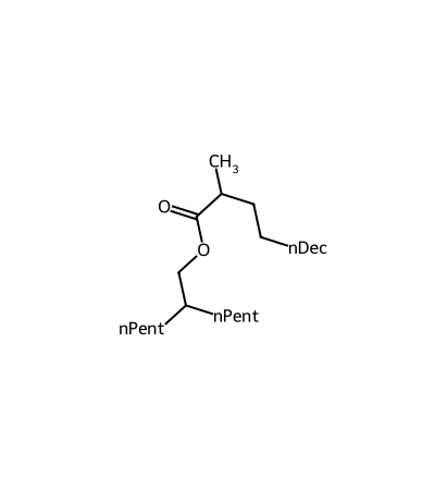 CCCCCCCCCCCCC(C)C(=O)OCC(CCCCC)CCCCC